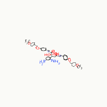 Nc1ccc(C(CC(=O)/C=C/c2ccc(OCC3CCC(OC(F)(F)F)CC3)cc2)C(O)(O)C(=O)/C=C/c2ccc(OCC3CCC(OC(F)(F)F)CC3)cc2)c(N)c1